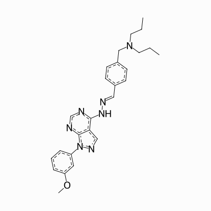 CCCN(CCC)Cc1ccc(/C=N/Nc2ncnc3c2cnn3-c2cccc(OC)c2)cc1